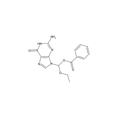 CCOC(OC(=O)c1ccccc1)n1cnc2c(=O)[nH]c(N)nc21